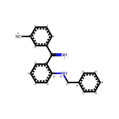 N#Cc1cccc(C(=N)c2ccccc2NCc2ccccc2)c1